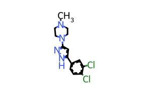 CN1CCN(c2cc(-c3ccc(Cl)c(Cl)c3)[nH]n2)CC1